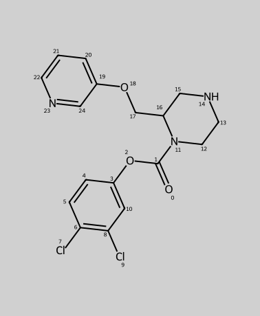 O=C(Oc1ccc(Cl)c(Cl)c1)N1CCNCC1COc1cccnc1